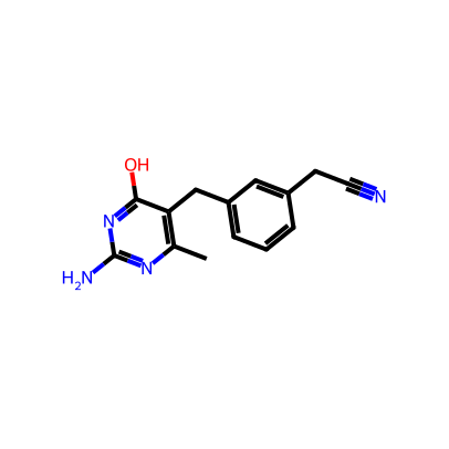 Cc1nc(N)nc(O)c1Cc1cccc(CC#N)c1